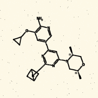 C[C@H]1CN(c2cc(-c3cnc(N)c(OC4CC4)c3)nc(N3CC4CC3C4)n2)[C@@H](C)CO1